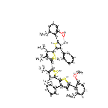 COc1cccc(OC(C)C)c1-c1cc(-c2ccccc2)c(-c2sc(-c3sc(-c4sc(-c5c(OC)cccc5OC(C)C)cc4-c4ccccc4)c(C)c3C)c(C)c2C)s1